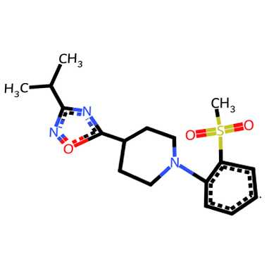 CC(C)c1noc(C2CCN(c3cc[c]cc3S(C)(=O)=O)CC2)n1